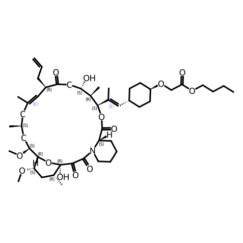 C=CC[C@@H]1/C=C(\C)C[C@H](C)C[C@H](OC)[C@H]2O[C@@](O)(C(=O)C(=O)N3CCCC[C@H]3C(=O)O[C@H](/C(C)=C/[C@H]3CC[C@H](OCC(=O)OCCCC)CC3)[C@H](C)[C@@H](O)CC1=O)[C@H](C)C[C@@H]2OC